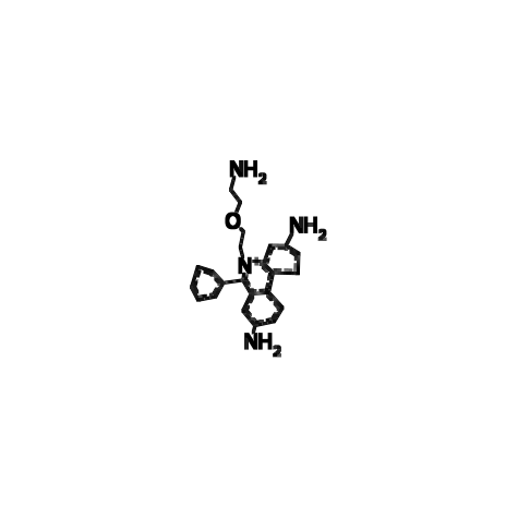 NCCOCC[n+]1c(-c2ccccc2)c2cc(N)ccc2c2ccc(N)cc21